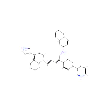 C/C(=C\C=C(/CN[C@H]1C=CC2CCC=CC2C1)C1C=CC(C2C=NC=CC2)CC1)C1CCC(C2CCNC2)=C2CCCCC21